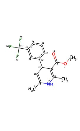 COC(=O)C1=C(C)NC(C)=CC1c1cccc(C(F)(F)F)c1